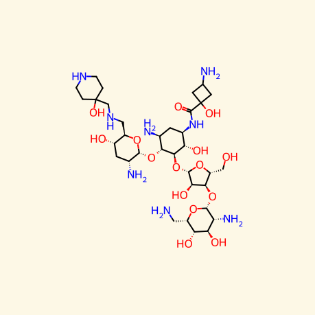 NC[C@@H]1O[C@H](O[C@H]2[C@@H](O)[C@H](O[C@@H]3[C@@H](O)[C@H](NC(=O)C4(O)CC(N)C4)C[C@H](N)[C@H]3O[C@H]3O[C@H](CNCC4(O)CCNCC4)[C@@H](O)C[C@H]3N)O[C@@H]2CO)[C@H](N)[C@@H](O)[C@@H]1O